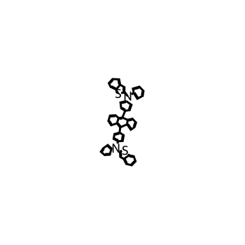 c1ccc(N(c2ccc(-c3c4ccccc4c(-c4ccc(N(c5ccccc5)c5cc6ccccc6s5)cc4)c4ccccc34)cc2)c2cc3ccccc3s2)cc1